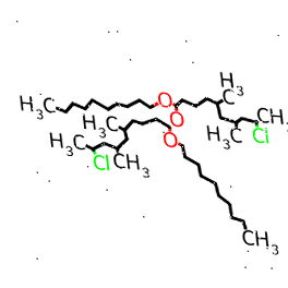 CCCCCCCCCCOC(CCCC(C)CC(C)CC(C)Cl)OC(CCCC(C)CC(C)CC(C)Cl)OCCCCCCCCCC